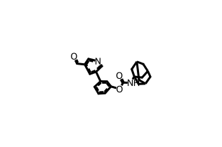 O=Cc1cncc(-c2cccc(OC(=O)NC34CC5CC(CC(C5)C3)C4)c2)c1